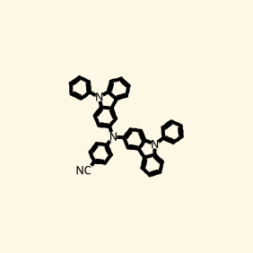 N#Cc1ccc(N(c2ccc3c(c2)c2ccccc2n3-c2ccccc2)c2ccc3c(c2)c2ccccc2n3-c2ccccc2)cc1